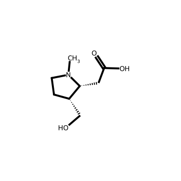 CN1CC[C@@H](CO)[C@H]1CC(=O)O